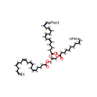 CC/C=C\C/C=C\C/C=C\C/C=C\C/C=C\CCCC(=O)OC[C@@H](COC(=O)CCCCCCC/C=C\CCCCCC)OC(=O)CCC/C=C\C/C=C\C/C=C\C/C=C\CCCCC